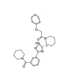 O=C(c1cccc(-c2n[nH]c([C@H]3CCCCN3C(=O)COc3ccccc3)n2)c1)N1CCCCC1